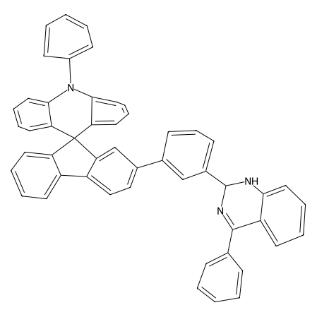 c1ccc(C2=NC(c3cccc(-c4ccc5c(c4)C4(c6ccccc6-5)c5ccccc5N(c5ccccc5)c5ccccc54)c3)Nc3ccccc32)cc1